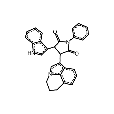 O=C1C(c2c[nH]c3ccccc23)C(c2cn3c4c(cccc24)CCC3)C(=O)N1c1ccccc1